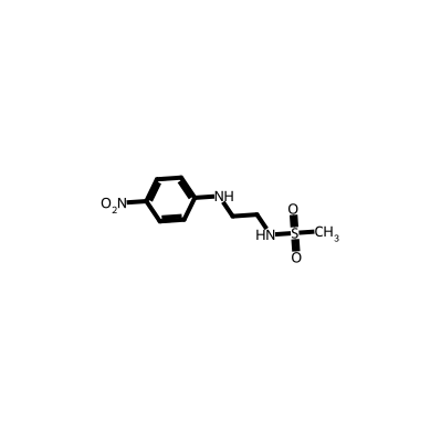 CS(=O)(=O)NCCNc1ccc([N+](=O)[O-])cc1